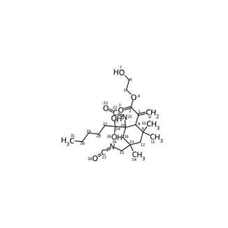 C=C(C(=O)OCCO)C1C(C)(C)CC(C)(CN=C=O)CC1(N=C=O)C(O)(O)CCCCC